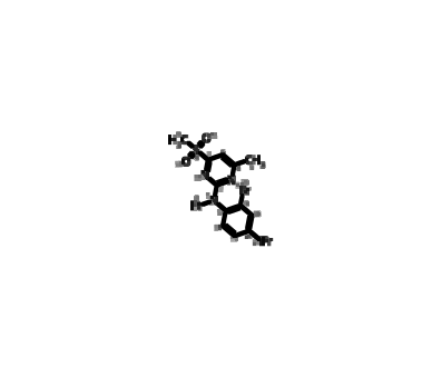 CCN(c1nc(C)cc(S(C)(=O)=O)n1)c1ccc(C(C)C)cc1Br